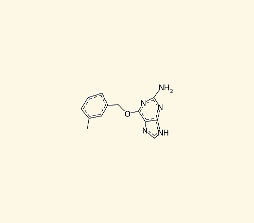 Cc1cccc(COc2nc(N)nc3[nH]cnc23)c1